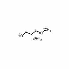 COCCCO.[BaH2]